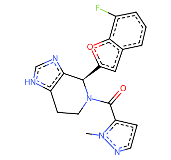 Cn1nccc1C(=O)N1CCc2[nH]cnc2[C@H]1c1cc2cccc(F)c2o1